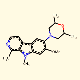 COc1cc2c(cc1N1CC(C)OC(C)C1)c1ccnc(C)c1n2C